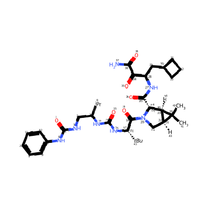 CC(C)C(CNC(=O)Nc1ccccc1)NC(=O)N[C@H](C(=O)N1C[C@H]2[C@@H]([C@H]1C(=O)NC(CC1CCC1)C(=O)C(N)=O)C2(C)C)C(C)(C)C